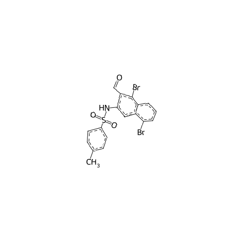 Cc1ccc(S(=O)(=O)Nc2cc3c(Br)cccc3c(Br)c2C=O)cc1